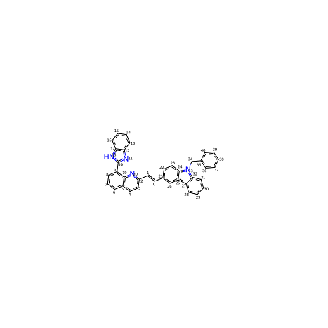 C(=Cc1ccc2cccc(-c3nc4ccccc4[nH]3)c2n1)c1ccc2c(c1)c1ccccc1n2Cc1ccccc1